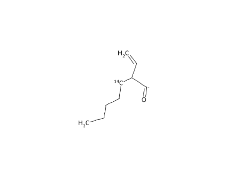 C=CC([C]=O)[14CH2]CCCC